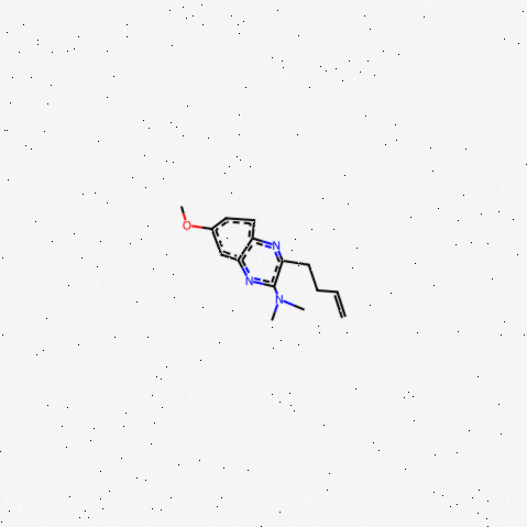 C=CCCc1nc2ccc(OC)cc2nc1N(C)C